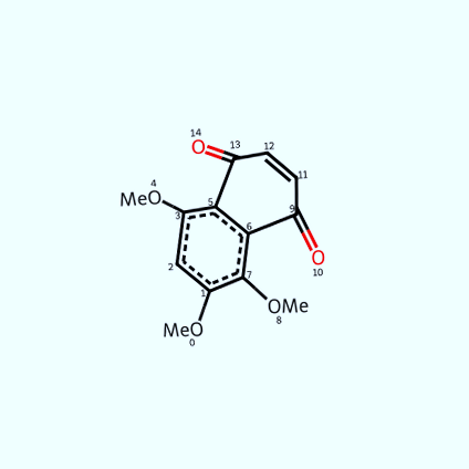 COc1cc(OC)c2c(c1OC)C(=O)C=CC2=O